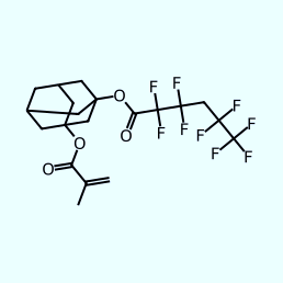 C=C(C)C(=O)OC12CC3CC(C1)CC(OC(=O)C(F)(F)C(F)(F)CC(F)(F)C(F)(F)F)(C3)C2